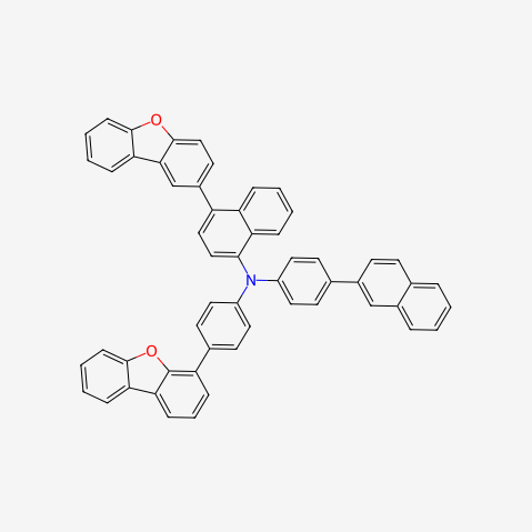 c1ccc2cc(-c3ccc(N(c4ccc(-c5cccc6c5oc5ccccc56)cc4)c4ccc(-c5ccc6oc7ccccc7c6c5)c5ccccc45)cc3)ccc2c1